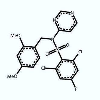 COc1ccc(CN(c2ccncn2)S(=O)(=O)c2c(Cl)cc(F)cc2Cl)c(OC)c1